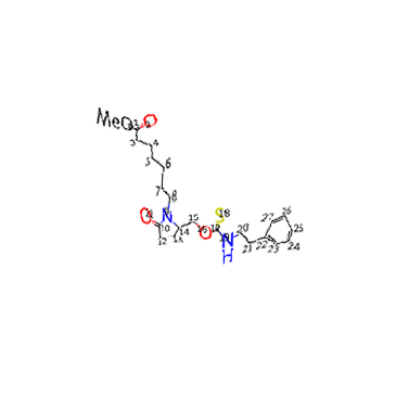 COC(=O)CCCCCCN1C(=O)CCC1COC(=S)NCCc1ccccc1